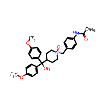 COC(=O)Nc1ccc(C[N+]2([O-])CCC(C(O)(c3ccc(OC(F)(F)F)cc3)c3ccc(OC(F)(F)F)cc3)CC2)cc1